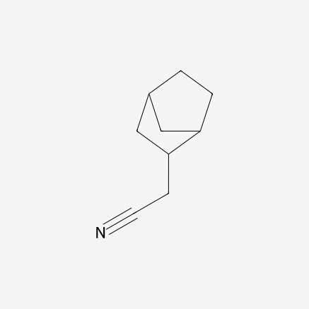 N#CCC1CC2CCC1C2